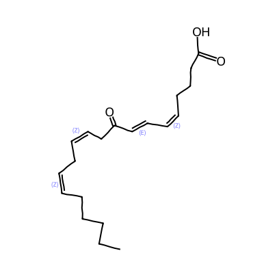 CCCCC/C=C\C/C=C\CC(=O)/C=C/C=C\CCCC(=O)O